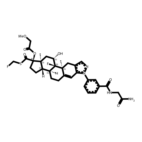 COCC(=O)O[C@]1(C(=O)SCF)CC[C@H]2[C@@H]3CCC4=Cc5c(cnn5-c5cccc(C(=O)NCC(N)=O)c5)C[C@]4(C)[C@@]3(F)[C@@H](O)C[C@@]21C